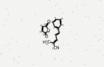 CC(C#N)=CC=Cc1ccccc1.O=C1C=CC(=O)O1